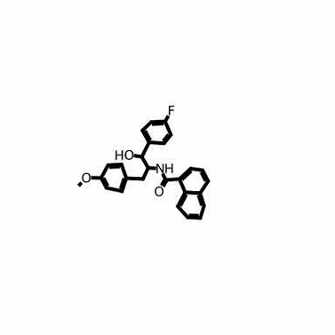 COc1ccc(CC(NC(=O)c2cccc3ccccc23)C(O)c2ccc(F)cc2)cc1